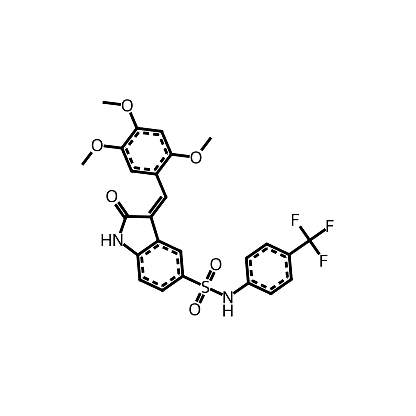 COc1cc(OC)c(OC)cc1C=C1C(=O)Nc2ccc(S(=O)(=O)Nc3ccc(C(F)(F)F)cc3)cc21